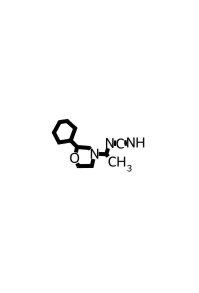 CC(N=C=N)N1CCOC(C2CCCCC2)C1